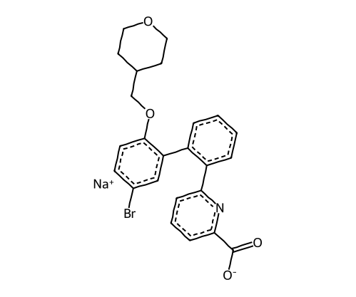 O=C([O-])c1cccc(-c2ccccc2-c2cc(Br)ccc2OCC2CCOCC2)n1.[Na+]